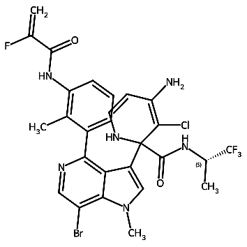 C=C(F)C(=O)Nc1cccc(-c2ncc(Br)c3c2c(C2(C(=O)N[C@@H](C)C(F)(F)F)NC=CC(N)=C2Cl)cn3C)c1C